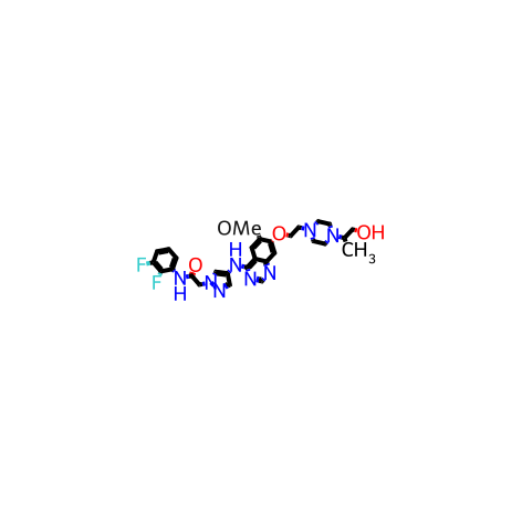 COc1cc2c(Nc3cnn(CC(=O)Nc4cccc(F)c4F)c3)ncnc2cc1OCCN1CCN(C(C)CO)CC1